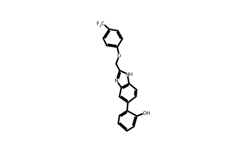 Oc1ccccc1-c1ccc2[nH]c(COc3ccc(C(F)(F)F)cc3)nc2c1